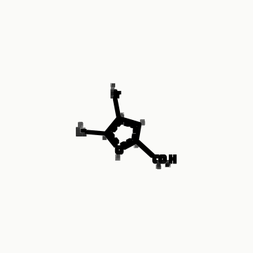 CCc1oc(C(=O)O)cc1Br